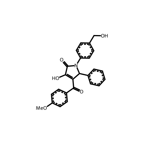 COc1ccc(C(=O)C2=C(O)C(=O)N(c3ccc(CO)cc3)C2c2ccccc2)cc1